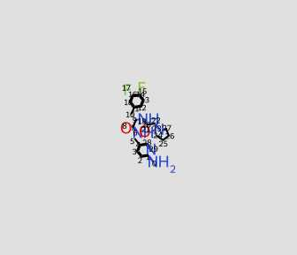 Nc1ccc(CNC(=O)[C@H](Cc2ccc(F)c(F)c2)NC(=O)CN2CCCC2)cn1